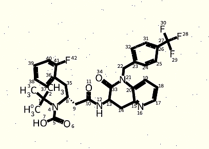 CC(C)(C)N(C(=O)O)[C@@H](CC(=O)NC1Cc2ncccc2N(Cc2ccc(C(F)(F)F)cc2)C1=O)Cc1ccccc1F